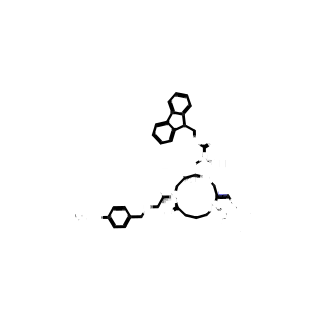 C=NN1CCCC(=O)N([C@H](C)COCc2ccc(OC)cc2)C[C@H](C)[C@H](CN(C)C(=O)OCC2c3ccccc3-c3ccccc32)OC/C1=C/N